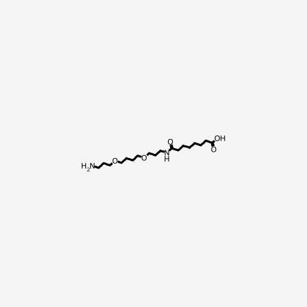 NCCCOCCCCOCCCNC(=O)CCCCCCC(=O)O